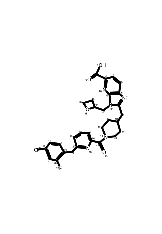 O=C(O)c1ccc2nc(CC3CCN(C(=O)c4cccc(Cc5ccc(Cl)cc5F)n4)CC3)n(CC3CCO3)c2n1